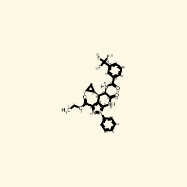 CCOC(=O)c1nn(-c2ccccc2)c2c1[C@@H](C1CC1)[C@@H](NC(=O)c1cccc(C(F)(F)F)c1)C(=O)N2